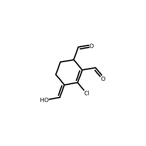 O=CC1=C(Cl)C(=CO)CCC1C=O